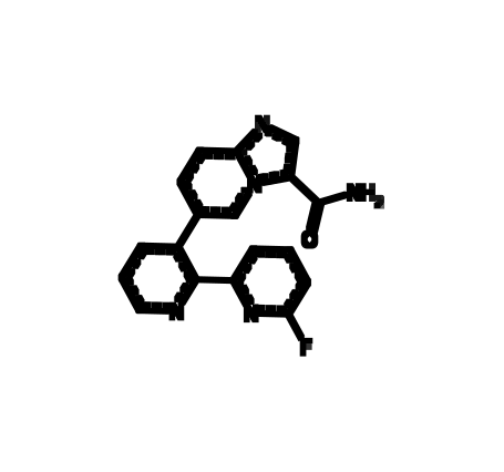 NC(=O)c1cnc2ccc(-c3cccnc3-c3cccc(F)n3)cn12